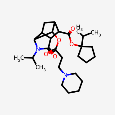 CC(C)N1C(=O)C2C3CC(C(OC(=O)CCN4CCCCC4)C31)C2C(=O)OC1(C(C)C)CCCC1